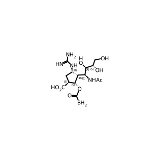 BC(=O)O[C@H]1[C@@H]([C@H](NC(C)=O)[C@@H](O)[C@@H](O)CO)[C@H](NC(=N)N)C[C@@H]1C(=O)O